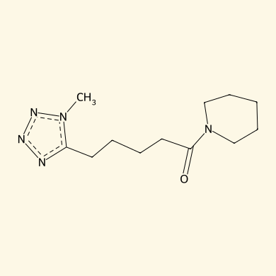 Cn1nnnc1CCCCC(=O)N1CCCCC1